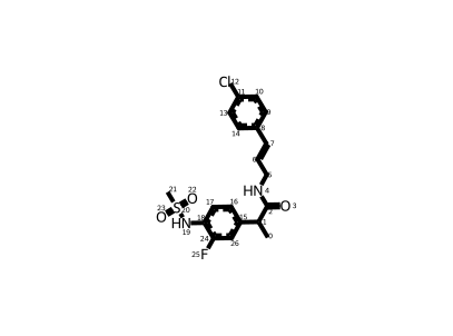 CC(C(=O)NCC=Cc1ccc(Cl)cc1)c1ccc(NS(C)(=O)=O)c(F)c1